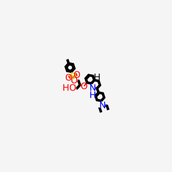 CCN(CC)C1CC=C(C2CC[C@@H]3CC=C[C@H](OC(CO)COS(=O)(=O)c4ccc(C)cc4)C3N2)CC1